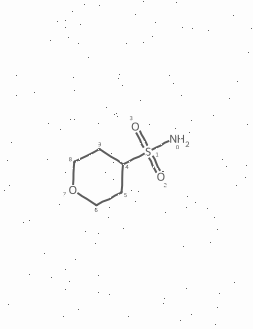 NS(=O)(=O)C1CCOCC1